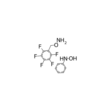 NOCc1c(F)c(F)c(F)c(F)c1F.ONc1ccccc1